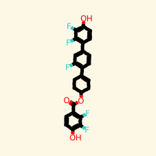 O=C(OC1CC=C(c2ccc(-c3ccc(O)c(F)c3F)cc2F)CC1)c1ccc(O)c(F)c1F